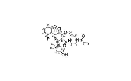 C=CC(=O)N1CCN2C(=O)c3c(N4C[C@@H](O)CC4(C)C)nc(-c4c(O)cccc4F)c(Cl)c3OCC2C1